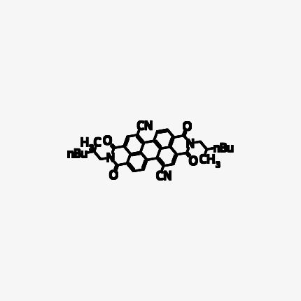 CCCCC(C)CN1C(=O)c2ccc3c4c(C#N)cc5c6c(ccc(c7c(C#N)cc(c2c37)C1=O)c64)C(=O)N(CC(C)CCCC)C5=O